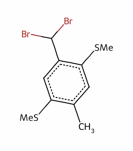 CSc1cc(C(Br)Br)c(SC)cc1C